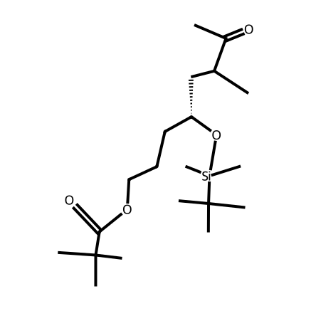 CC(=O)C(C)C[C@@H](CCCOC(=O)C(C)(C)C)O[Si](C)(C)C(C)(C)C